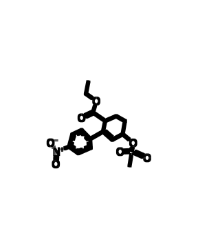 CCOC(=O)C1CCC(OS(C)(=O)=O)C=C1c1ccc([N+](=O)[O-])cc1